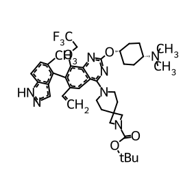 C=Cc1cc2c(N3CCC4(CC3)CN(C(=O)OC(C)(C)C)C4)nc(O[C@H]3CC[C@@H](N(C)C)CC3)nc2c(OCC(F)(F)F)c1-c1c(C)ccc2[nH]ncc12